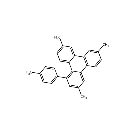 Cc1ccc(-c2cc(C)cc3c4ccc(C)cc4c4cc(C)ccc4c23)cc1